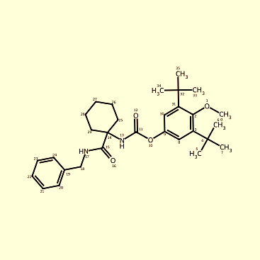 COc1c(C(C)(C)C)cc(OC(=O)NC2(C(=O)NCc3ccccc3)CCCCC2)cc1C(C)(C)C